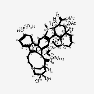 CC[C@]1(O)C[C@@H]2CN(CCc3c([nH]c4ccccc34)[C@@](C(=O)OC)(c3cc4c(cc3OC)N(C)[C@H]3[C@@](O)(C(=O)OC)[C@H](OC(C)=O)[C@]5(CC)C=CCN6CC[C@]43[C@@H]65)C2=O)C1.O=S(=O)(O)O